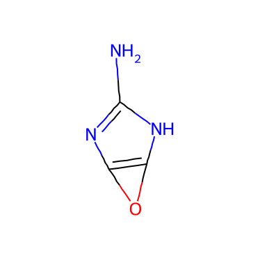 Nc1nc2c([nH]1)O2